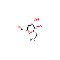 CC[C@@H]1O[C@H](CO)C[C@H](O)[C@H]1O